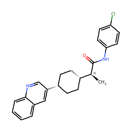 C[C@H](C(=O)Nc1ccc(Cl)cc1)[C@H]1CC[C@@H](c2cnc3ccccc3c2)CC1